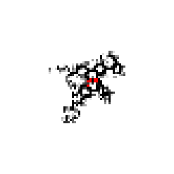 [2H]C([2H])([2H])NC(=O)c1cc(CNC(=O)OC(C)(C)C)ccc1NC(=O)c1cc2c(cc1-c1ccc(C(=O)NCCC)nc1C(=O)OC)OCCc1ccsc1-2